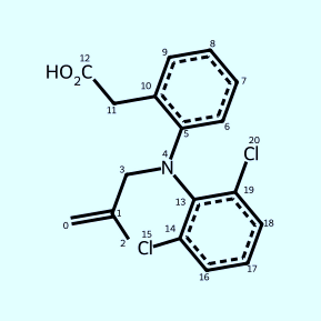 C=C(C)CN(c1ccccc1CC(=O)O)c1c(Cl)cccc1Cl